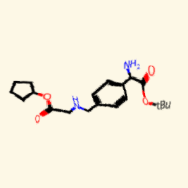 CC(C)(C)OC(=O)C(N)c1ccc(CNCC(=O)OC2CCCC2)cc1